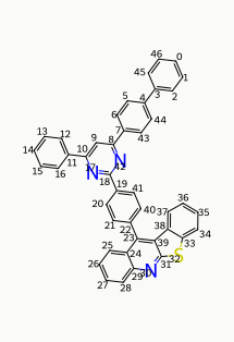 c1ccc(-c2ccc(-c3cc(-c4ccccc4)nc(-c4ccc(-c5c6ccccc6nc6sc7ccccc7c56)cc4)n3)cc2)cc1